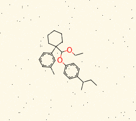 CCOC(Oc1ccc(C(C)CC)cc1)C1(c2cccc(C)c2)CCCCC1